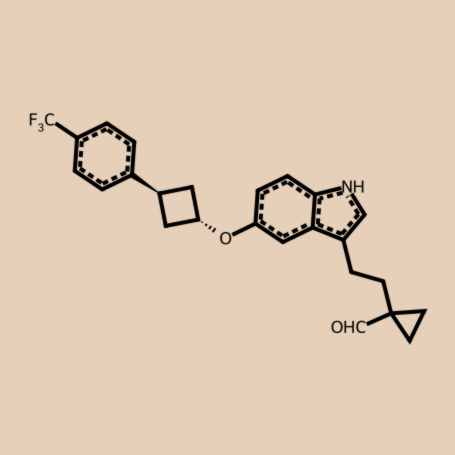 O=CC1(CCc2c[nH]c3ccc(O[C@H]4C[C@H](c5ccc(C(F)(F)F)cc5)C4)cc23)CC1